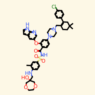 Cc1cc(S(=O)(=O)NC(=O)c2ccc(N3CCN(CC4=C(c5ccc(Cl)cc5)CC(C)(C)CC4)CC3)cc2Oc2cnc3[nH]ccc3c2)ccc1NCC1(O)COCCOC1